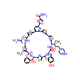 Cc1sc2nc1C(=O)N[C@@H]([C@H](O)c1ccccc1)c1nc(cs1)C(=O)N[C@@H](Cc1ccc(O)cc1)C(=O)N[C@@H]([C@@H](C)[C@@H](O)CN1CCNCC1)c1nc(cs1)-c1nc(cs1)-c1nc(-c3nc(C(N)=O)cs3)ccc1-c1nc(cs1)C(=O)N[C@H]2CC(N)=O